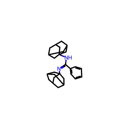 c1ccc(/C(=N\C23CC4CC(CC(C4)C2)C3)NC23CC4CC(CC(C4)C2)C3)cc1